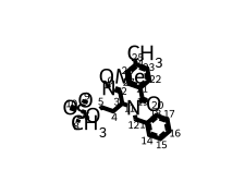 CON=CC(CCOS(C)(=O)=O)N(Cc1ccccc1)C(=O)c1ccc(C)cc1